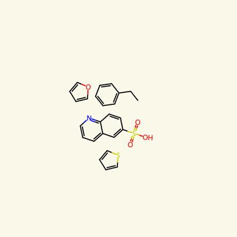 CCc1ccccc1.O=S(=O)(O)c1ccc2ncccc2c1.c1ccoc1.c1ccsc1